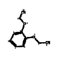 N#CCOc1ccccc1OCC#N